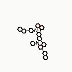 c1ccc(-c2cc3cc(-c4ccccc4)c(N(c4ccccc4)c4ccc(-c5ccc6ccccc6c5)cc4)cc3cc2N(c2ccccc2)c2ccc(-c3ccc4ccccc4c3)cc2)cc1